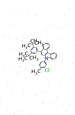 Cc1ccc(-n2c3ccccc3c3c4ccccc4c(-c4cc(C(C)(C)C)cc(C(C)(C)C)c4)cc32)cc1Cl